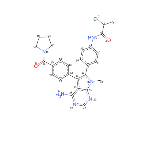 CC(Cl)C(=O)Nc1ccc(-c2c(-c3ccc(C(=O)N4CCCC4)cc3)c3c(N)ncnc3n2C)cc1